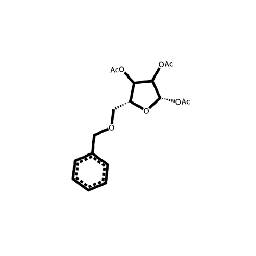 CC(=O)OC1C(OC(C)=O)[C@@H](COCc2ccccc2)O[C@H]1OC(C)=O